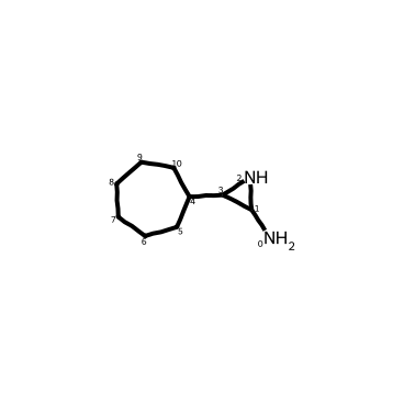 NC1NC1C1CCCCCC1